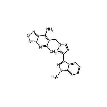 Cc1nc2nonc2c(N)c1Cn1ccc(-c2nn(C)c3ccccc23)n1